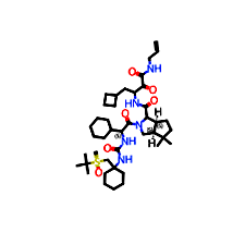 C=CCNC(=O)C(=O)C(CC1CCC1)NC(=O)C1[C@H]2CCC(C)(C)[C@H]2CN1C(=O)[C@@H](NC(=O)NC1(CS(=C)(=O)C(C)(C)C)CCCCC1)C1CCCCC1